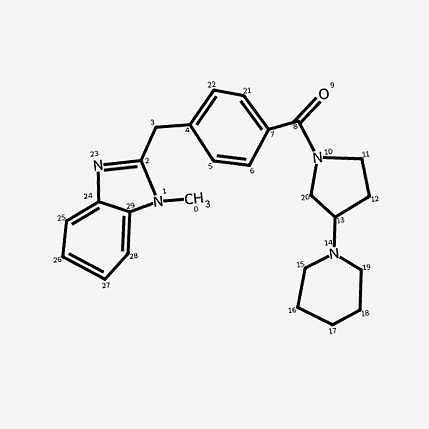 Cn1c(Cc2ccc(C(=O)N3CCC(N4CCCCC4)C3)cc2)nc2ccccc21